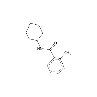 Cc1ccccc1C(=O)NC1CCCCC1